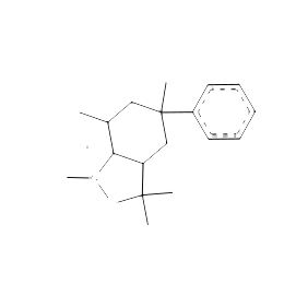 CC1CC(C)(c2ccccc2)CC2[C@H]1N(C(C)C)OC2(C)C